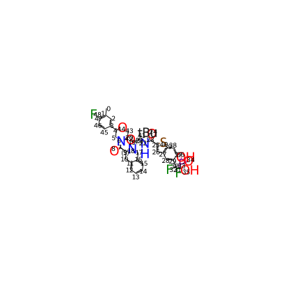 Cc1cc(C2CN(C(=O)[C@@H]3Cc4ccccc4CN3C(=O)[C@@H](NC(=O)c3cc4cc(C(F)(F)P(=O)(O)O)ccc4s3)C(C)(C)C)CCO2)ccc1F